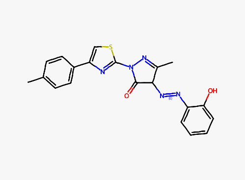 CC1=NN(c2nc(-c3ccc(C)cc3)cs2)C(=O)C1/N=N/c1ccccc1O